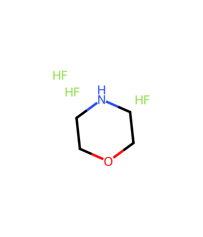 C1COCCN1.F.F.F